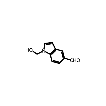 O=Cc1ccc2c(ccn2CO)c1